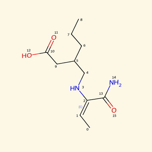 C/C=C(/NCC(CCC)CC(=O)O)C(N)=O